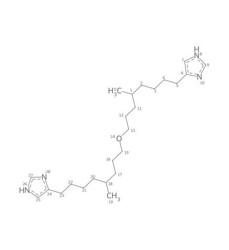 CC(CCCCc1c[nH]cn1)CCCOCCCC(C)CCCCc1c[nH]cn1